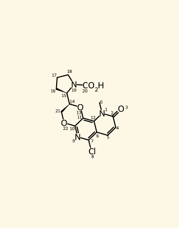 Cn1c(=O)ccc2c(Cl)nc3c(c21)O[C@H]([C@H]1CCCN1C(=O)O)CO3